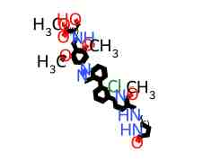 COC(=O)[C@@H](CO)NCc1c(OC)cc(-n2ncc3c(-c4cccc(-c5ccc(CNC[C@@H]6CCC(=O)N6)c(OC)n5)c4Cl)cccc32)cc1OC